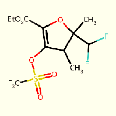 CCOC(=O)C1=C(OS(=O)(=O)C(F)(F)F)C(C)C(C)(C(F)F)O1